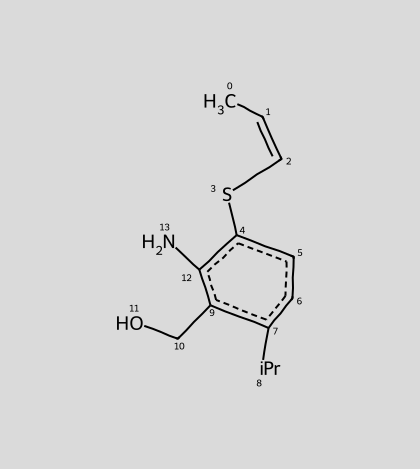 C/C=C\Sc1ccc(C(C)C)c(CO)c1N